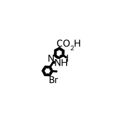 Cc1c(Br)cccc1-c1nc2cc(C(=O)O)cc(I)c2[nH]1